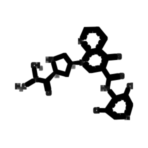 CN(C)C(=O)[C@@H]1C[C@H](n2cc(C(=O)Nc3c(Cl)cncc3Cl)c(=O)c3cccnc32)CN1